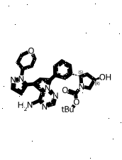 CC(C)(C)OC(=O)N1C[C@H](O)C[C@H]1c1cccc(-c2cc(-c3ccnn3C3CCOCC3)c3c(N)ncnn23)c1